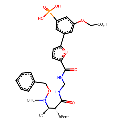 CCCCC[C@@H](C(=O)NCNC(=O)c1ccc(-c2cc(OCC(=O)O)cc(P(=O)(O)O)c2)o1)[C@@H](CC)N(C=O)OCc1ccccc1